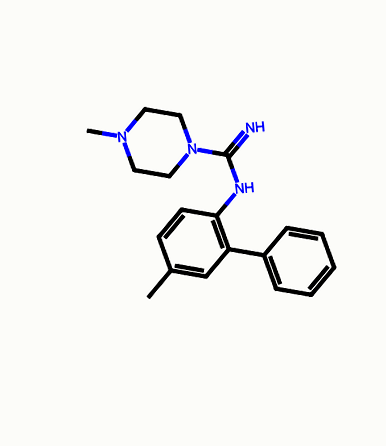 Cc1ccc(NC(=N)N2CCN(C)CC2)c(-c2ccccc2)c1